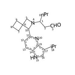 CCCC(CC=O)N1CC2(CCC2)C1c1ccc2[nH]cc(C(C)C)c2n1